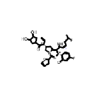 C=C[C@@H](C(=O)C1CC(O)C(O)C1)C1CC2=C(C(=N)/C=C\CC(C)F)[C@H](c3ccc(F)cc3Cl)N=C(C3CC=CS3)N2C1